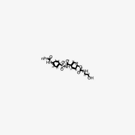 CCCC(=O)Nc1ccc(S(=O)(=O)NC(=O)c2ccc(OC(=O)NCCO)nc2)cc1